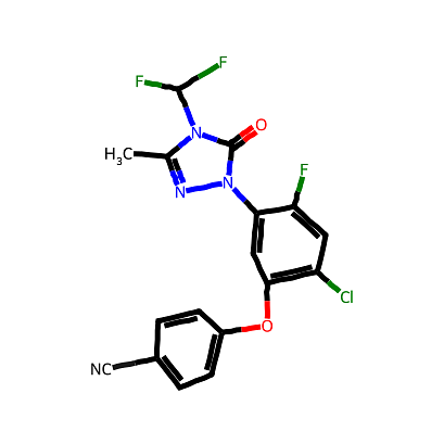 Cc1nn(-c2cc(Oc3ccc(C#N)cc3)c(Cl)cc2F)c(=O)n1C(F)F